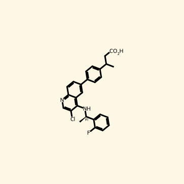 CC(CC(=O)O)c1ccc(-c2ccc3ncc(Cl)c(N[C@H](C)c4ccccc4F)c3c2)cc1